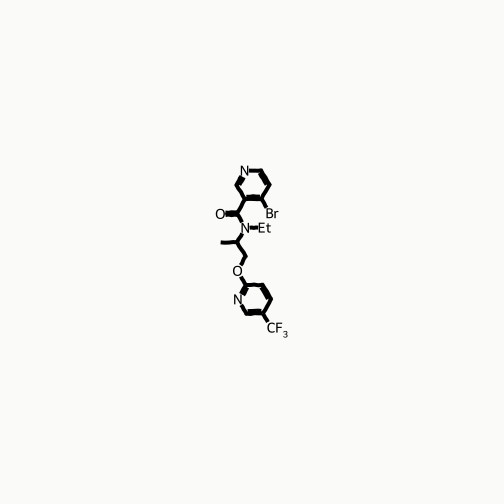 CCN(C(=O)c1cnccc1Br)C(C)COc1ccc(C(F)(F)F)cn1